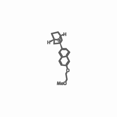 COCCOc1ccc2cc([C@@H]3C[C@H]4CC[C@@H](C3)N4C)ccc2c1